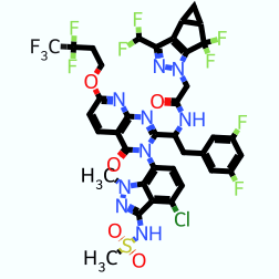 Cn1nc(NS(C)(=O)=O)c2c(Cl)ccc(-n3c(C(Cc4cc(F)cc(F)c4)NC(=O)Cn4nc(C(F)F)c5c4C(F)(F)C4CC54)nc4nc(OCCC(F)(F)C(F)(F)F)ccc4c3=O)c21